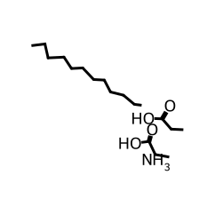 CCC(=O)O.CCC(=O)O.CCCCCCCCCCCC.N